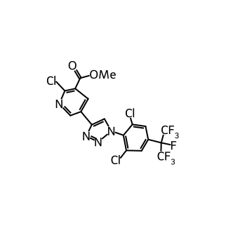 COC(=O)c1cc(-c2cn(-c3c(Cl)cc(C(F)(C(F)(F)F)C(F)(F)F)cc3Cl)nn2)cnc1Cl